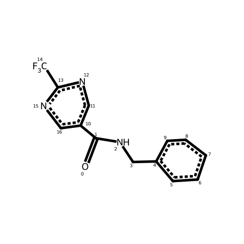 O=C(NCc1ccccc1)c1cnc(C(F)(F)F)nc1